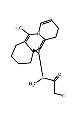 CC1=C2CCCCC23CC(N(C)C(=O)CCl)OC3=C2CCC=CN12